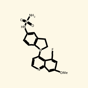 COc1cc(F)c2c(N3CCc4cc(NS(N)(=O)=O)ccc43)ccnc2c1